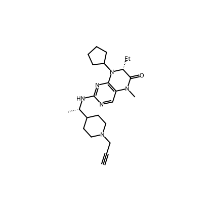 C#CCN1CCC([C@H](C)Nc2ncc3c(n2)N(C2CCCC2)[C@H](CC)C(=O)N3C)CC1